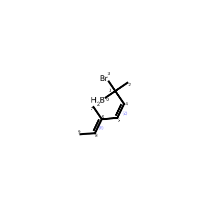 BC(C)(Br)/C=C\C(C)=C\C